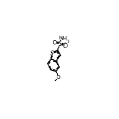 COc1ccc2sc(S(N)(=O)=O)cc2c1